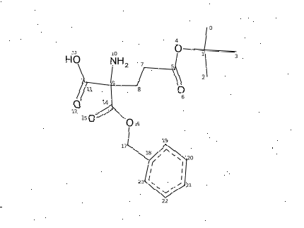 CC(C)(C)OC(=O)CCC(N)(C(=O)O)C(=O)OCc1ccccc1